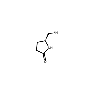 [3H]C[C@@H]1CCC(=O)N1